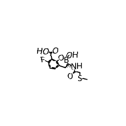 CSCC(=O)N[C@H]1Cc2ccc(F)c(C(=O)O)c2OB1O